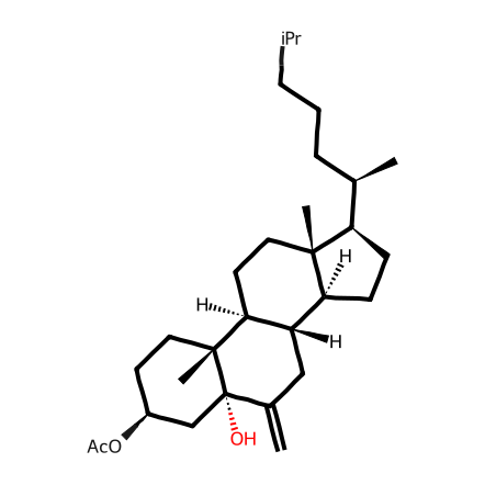 C=C1C[C@H]2[C@@H]3CC[C@H]([C@H](C)CCCC(C)C)[C@@]3(C)CC[C@@H]2[C@@]2(C)CC[C@H](OC(C)=O)C[C@]12O